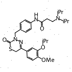 COc1ccc(C2=NN(Cc3ccc(NC(=O)CCN(C(C)C)C(C)C)cc3)C(=O)SC2)cc1OC(C)C